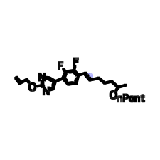 C=CCOc1ncc(-c2ccc(/C=C/CCCC(C)OCCCCC)c(F)c2F)cn1